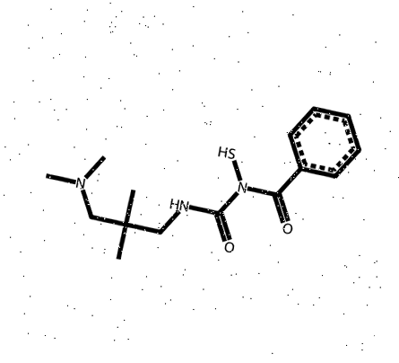 CN(C)CC(C)(C)CNC(=O)N(S)C(=O)c1ccccc1